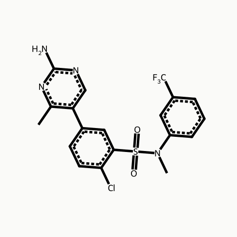 Cc1nc(N)ncc1-c1ccc(Cl)c(S(=O)(=O)N(C)c2cccc(C(F)(F)F)c2)c1